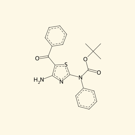 CC(C)(C)OC(=O)N(c1ccccc1)c1nc(N)c(C(=O)c2ccccc2)s1